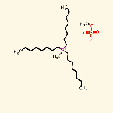 CCCCCCCC[P+](C)(CCCCCCCC)CCCCCCCC.COS(=O)(=O)[O-]